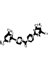 Cc1cc(C)nc(N2CCN(C(=O)N3CCN(c4nc(C)cc(C)n4)CC3)CC2)n1